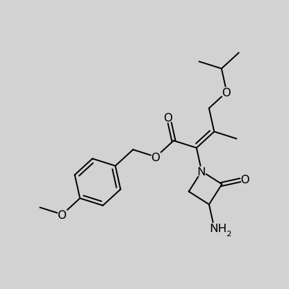 COc1ccc(COC(=O)C(=C(C)COC(C)C)N2CC(N)C2=O)cc1